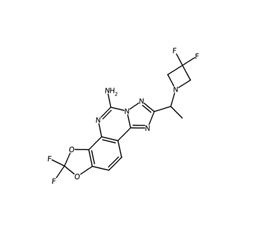 CC(c1nc2c3ccc4c(c3nc(N)n2n1)OC(F)(F)O4)N1CC(F)(F)C1